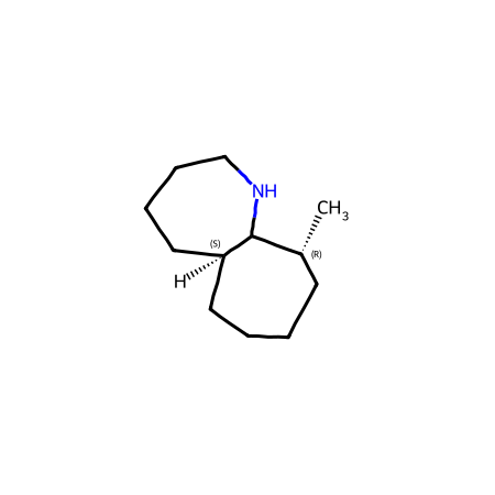 C[C@@H]1CCCC[C@H]2CCCCNC21